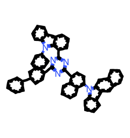 c1ccc(-c2ccc(-c3nc(-c4ccc(-n5c6ccccc6c6cc7ccccc7cc65)c5ccccc45)nc(-c4cccc5c6ccccc6n(-c6ccccc6)c45)n3)cc2)cc1